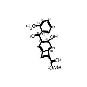 COC(=O)C1=Cc2cc(C(=O)c3ccccc3C)c(O)cc21